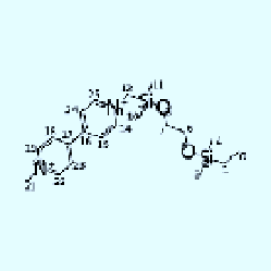 CC[Si](C)(C)OCCO[Si](C)(C)C[n+]1ccc(-c2cc[n+](C)cc2)cc1